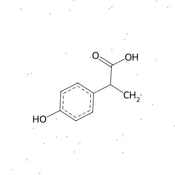 [CH2]C(C(=O)O)c1ccc(O)cc1